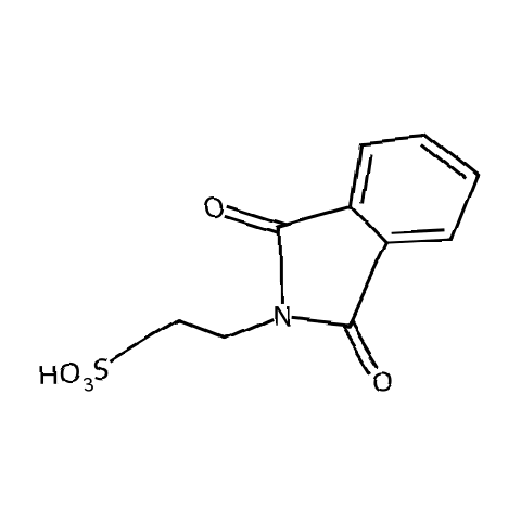 O=C1c2ccccc2C(=O)N1CCS(=O)(=O)O